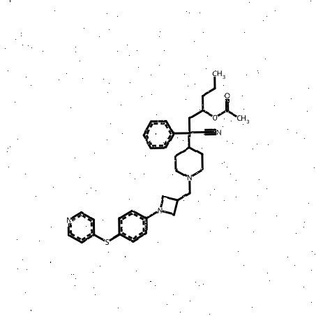 CCCC(CC(C#N)(c1ccccc1)C1CCN(CC2CN(c3ccc(Sc4ccncc4)cc3)C2)CC1)OC(C)=O